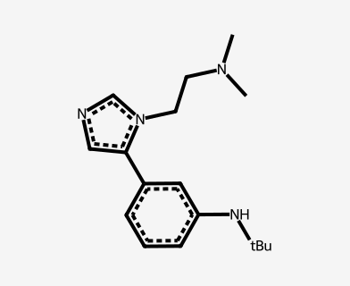 CN(C)CCn1cncc1-c1cccc(NC(C)(C)C)c1